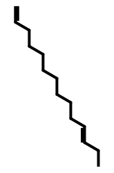 C=CCCCCCCCC/C=C/CC